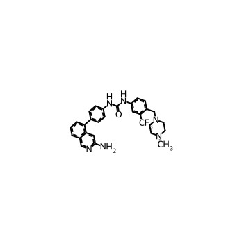 CN1CCN(Cc2ccc(NC(=O)Nc3ccc(-c4cccc5cnc(N)cc45)cc3)cc2C(F)(F)F)CC1